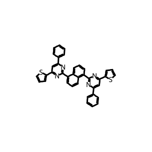 c1ccc(-c2cc(-c3cccs3)nc(-c3cccc4c(-c5nc(-c6ccccc6)cc(-c6cccs6)n5)cccc34)n2)cc1